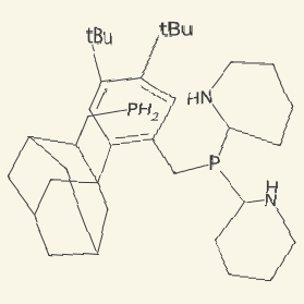 CC(C)(C)c1cc(CP(C2CCCCN2)C2CCCCN2)c(C23CC4CC(CC(C4)C2CP)C3)cc1C(C)(C)C